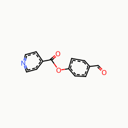 O=Cc1ccc(OC(=O)c2ccncc2)cc1